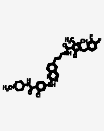 Cc1c(C(=O)NCC=Cc2ccc3nc(Nc4ccc(C(=O)NC5CCN(C)CC5)c(Cl)c4)ncc3c2)c(=O)n(Cc2ccc(F)c(F)c2)n1C